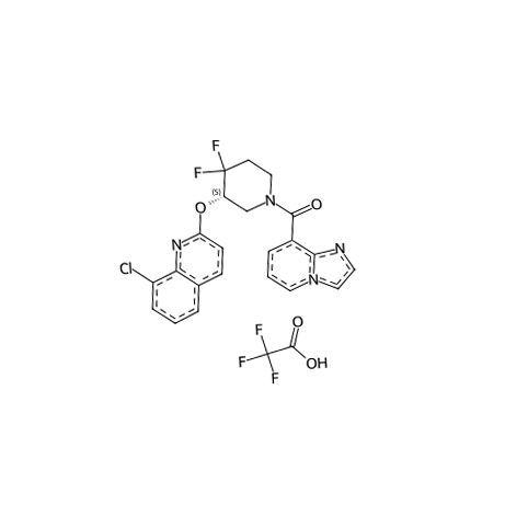 O=C(O)C(F)(F)F.O=C(c1cccn2ccnc12)N1CCC(F)(F)[C@@H](Oc2ccc3cccc(Cl)c3n2)C1